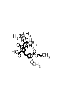 C=CCOC(=O)N1CC(CC2=C(C(=O)O)N3C(=O)[C@@H]([C@@H](CO[SiH](C)C)C(C)(C)C)[C@H]3C2)C[C@H]1COC